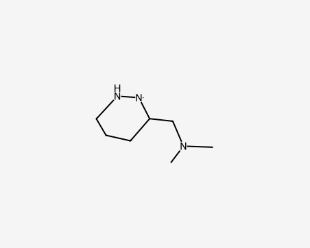 CN(C)CC1CCCN[N]1